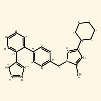 CCCc1nc(C2CCCCC2)nn1Cc1ccc(-c2cccnc2-c2nnn[nH]2)cc1